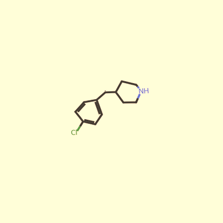 Clc1ccc([CH]C2CCNCC2)cc1